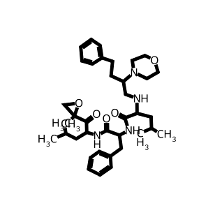 CC(C)CC(NCC(CCc1ccccc1)N1CCOCC1)C(=O)NC(Cc1ccccc1)C(=O)NC(CC(C)C)C(=O)C1(C)CO1